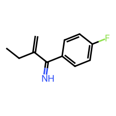 C=C(CC)C(=N)c1ccc(F)cc1